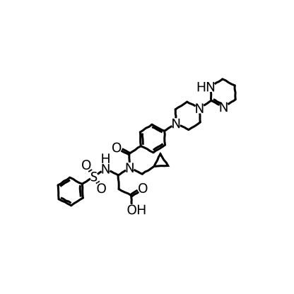 O=C(O)CC(NS(=O)(=O)c1ccccc1)N(CC1CC1)C(=O)c1ccc(N2CCN(C3=NCCCN3)CC2)cc1